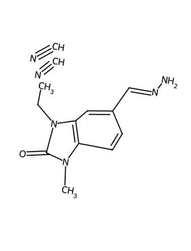 C#N.C#N.CCn1c(=O)n(C)c2ccc(C=NN)cc21